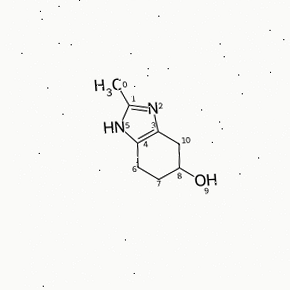 Cc1nc2c([nH]1)CCC(O)C2